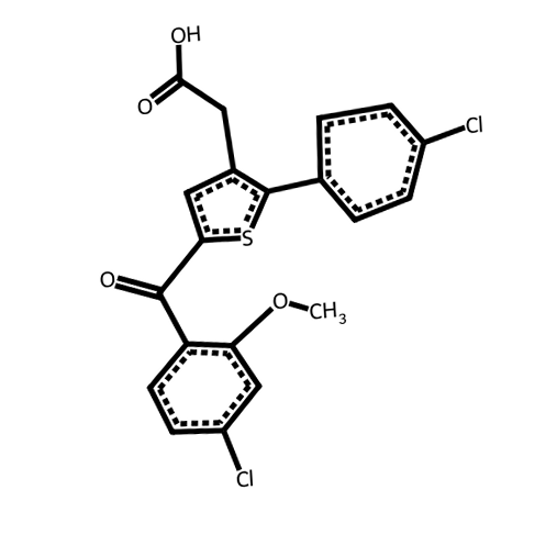 COc1cc(Cl)ccc1C(=O)c1cc(CC(=O)O)c(-c2ccc(Cl)cc2)s1